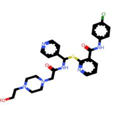 O=C(CN1CCN(CCO)CC1)NC(Sc1ncccc1C(=O)Nc1ccc(Cl)cc1)c1ccncc1